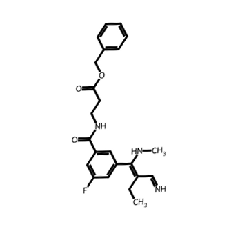 CC/C(C=N)=C(/NC)c1cc(F)cc(C(=O)NCCC(=O)OCc2ccccc2)c1